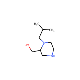 CC(C)CN1CCNCC1CO